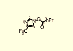 CCCC(=O)On1cnc(C(F)(F)F)c1